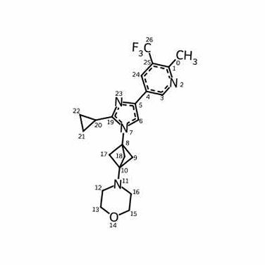 Cc1ncc(-c2cn(C34CC(N5CCOCC5)(C3)C4)c(C3CC3)n2)cc1C(F)(F)F